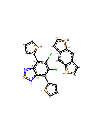 Fc1c(F)c(-c2cccs2)c2nsnc2c1-c1cccs1.c1cc2cc3sccc3cc2s1